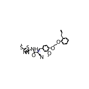 C=CCc1ccccc1OCCOc1ccc(/C=C(\C#N)C(=O)Nc2nnc(SC)s2)cc1OC